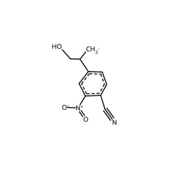 [CH2]C(CO)c1ccc(C#N)c([N+](=O)[O-])c1